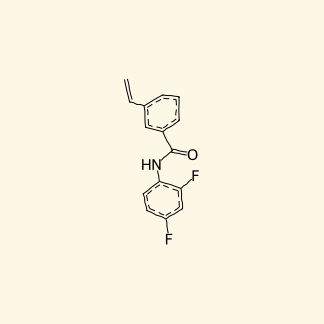 C=Cc1cccc(C(=O)Nc2ccc(F)cc2F)c1